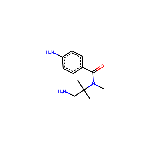 CN(C(=O)c1ccc(N)cc1)C(C)(C)CN